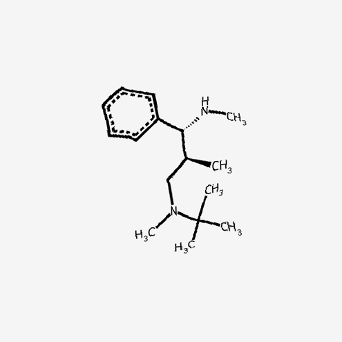 CN[C@@H](c1ccccc1)[C@@H](C)CN(C)C(C)(C)C